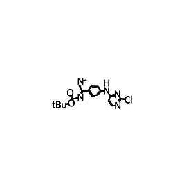 C/N=C\C(=N/C(=O)OC(C)(C)C)c1ccc(Nc2ccnc(Cl)n2)cc1